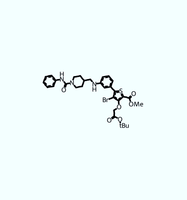 COC(=O)c1sc(-c2cccc(NCC3CCN(C(=O)Nc4ccccc4)CC3)c2)c(Br)c1OCC(=O)OC(C)(C)C